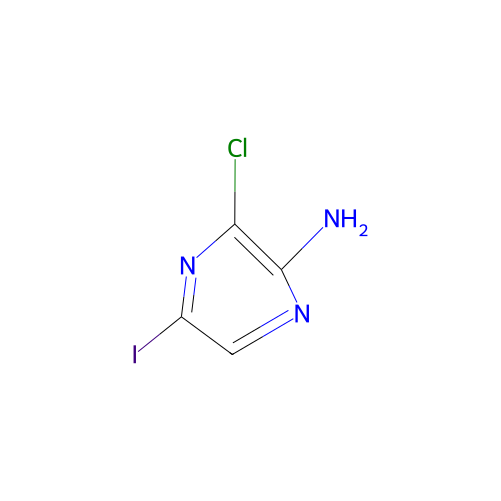 Nc1ncc(I)nc1Cl